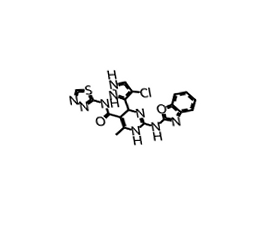 CC1=C(C(=O)Nc2nncs2)C(c2n[nH]cc2Cl)N=C(Nc2nc3ccccc3o2)N1